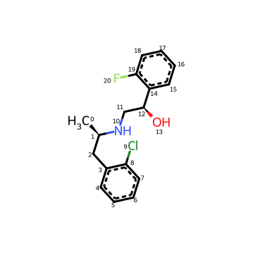 C[C@H](Cc1ccccc1Cl)NC[C@H](O)c1ccccc1F